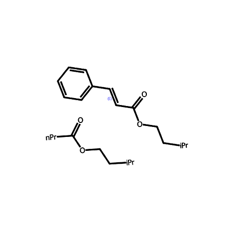 CC(C)CCOC(=O)/C=C/c1ccccc1.CCCC(=O)OCCC(C)C